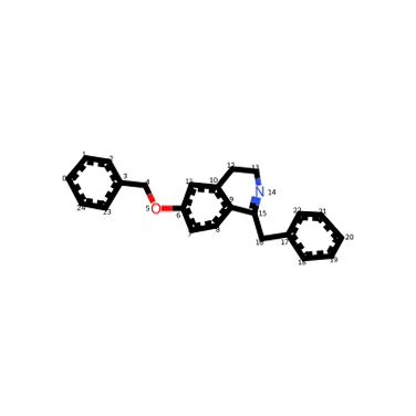 c1ccc(COc2ccc3c(c2)CCN=C3Cc2ccccc2)cc1